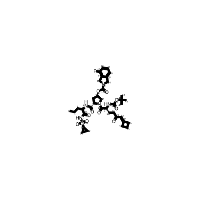 CCCC(NC(=O)[C@@H]1C[C@@H](OC(=O)N2Cc3cccc(F)c3C2)CN1C(=O)[C@H](CCC(=O)C=C1CCC1)NC(=O)OC(C)(C)C)C(=O)NS(=O)(=O)C1CC1